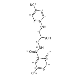 N#Cc1ccc(NCC(O)CNC(=O)C2=CC(Cl)=CCC2=S)cc1